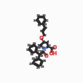 O=C(O)[C@@H]1C[C@@H](OC/C=C/c2ccccc2)CN1C(=O)C(c1ccccc1)c1ccccc1